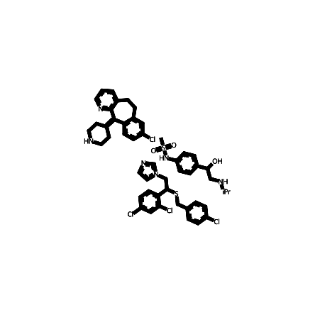 CC(C)NCC(O)c1ccc(NS(C)(=O)=O)cc1.Clc1ccc(CSC(Cn2ccnc2)c2ccc(Cl)cc2Cl)cc1.Clc1ccc2c(c1)CCc1cccnc1C2=C1CCNCC1